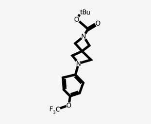 CC(C)(C)OC(=O)N1CC2(C1)CN(c1ccc(OC(F)(F)F)cc1)C2